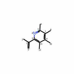 C=C(C)c1nc(C)c(C)c(C)c1C